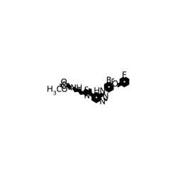 CCS(=O)(=O)CCNCCCc1nc(-c2ccc3ncnc(Nc4ccc(OCc5cccc(F)c5)c(Br)c4)c3c2)cs1